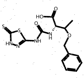 CC(OCc1ccccc1)[C@H](NC(=O)Nc1n[nH]c(=S)s1)C(=O)O